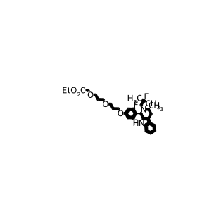 CCOC(=O)COCCCOCCCOc1cc(F)c([C@@H]2c3[nH]c4ccccc4c3C[C@@H](C)N2CC(C)(C)F)c(F)c1